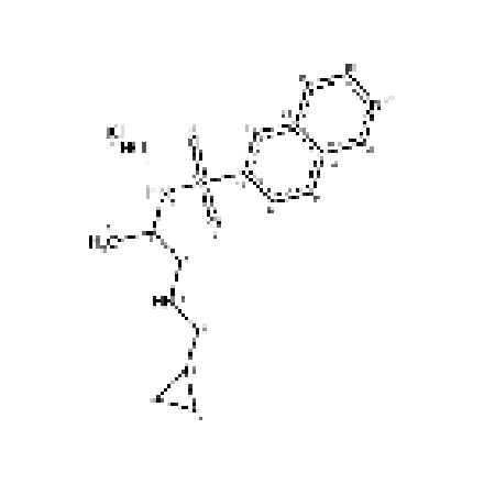 CC(CNCC1CC1)NS(=O)(=O)c1ccc2cnccc2c1.Cl.Cl